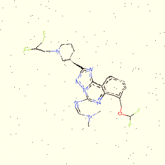 CN(C)/C=N\c1nc2c(OC(F)F)cccc2c2nc([C@@H]3CCCN(CC(F)F)C3)nn12